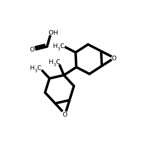 CC1CC2OC2CC1C1(C)CC2OC2CC1C.O=CO